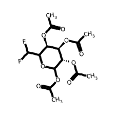 CC(=O)OC1OC(C(F)F)[C@@H](OC(C)=O)[C@@H](OC(C)=O)[C@@H]1OC(C)=O